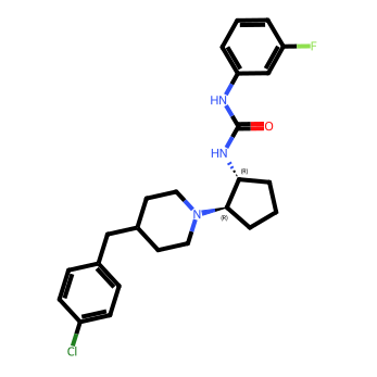 O=C(Nc1cccc(F)c1)N[C@@H]1CCC[C@H]1N1CCC(Cc2ccc(Cl)cc2)CC1